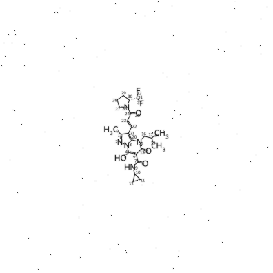 Cc1nn2c(O)c(C(=O)NC3CC3)c(=O)n(CC(C)C)c2c1/C=C/C(=O)N1CCC[C@@H]1C(F)F